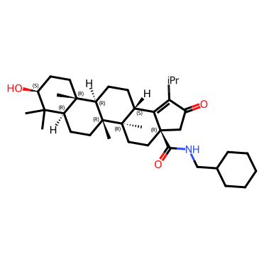 CC(C)C1=C2[C@H]3CC[C@@H]4[C@@]5(C)CC[C@H](O)C(C)(C)[C@@H]5CC[C@@]4(C)[C@]3(C)CC[C@@]2(C(=O)NCC2CCCCC2)CC1=O